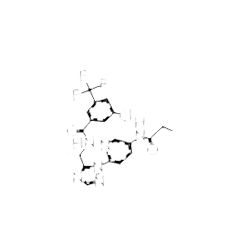 CCC(=O)Nc1ccc(-n2ncnc2[C@H](C)NC(=O)c2cc(Cl)cc(C(F)(F)F)c2)nc1